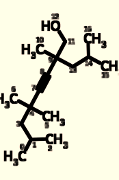 CC(C)CC(C)(C)C#CC(C)(CO)CC(C)C